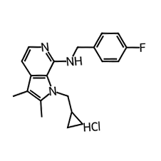 Cc1c(C)n(CC2CC2)c2c(NCc3ccc(F)cc3)nccc12.Cl